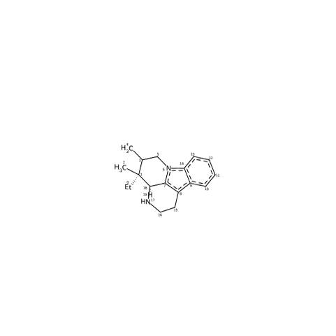 CC[C@]1(C)C(C)Cn2c3c(c4ccccc42)CCN[C@H]31